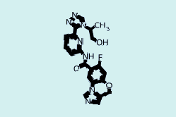 CC(CO)n1cnnc1-c1cccc(NC(=O)c2cc3c(cc2F)OCc2cncn2-3)n1